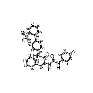 Cc1ccc(NC(=O)N[C@@H](Cc2ccccc2)C(=O)Nc2ccc(-c3ccccc3S(C)(=O)=O)cc2)cc1